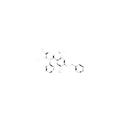 COC(=O)[C@H](C)N(C(=O)c1cc(OC)c(OCc2ccccc2)cc1[N+](=O)[O-])c1ccccc1